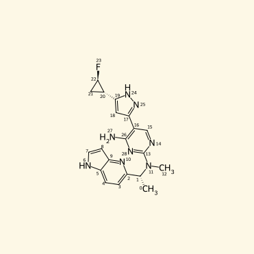 C[C@H](c1ccc2[nH]ccc2n1)N(C)c1ncc(-c2cc([C@@H]3C[C@H]3F)[nH]n2)c(N)n1